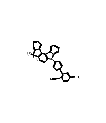 Cc1ccc(C#N)c(-c2ccc(-n3c4ccccc4c4c5c(ccc43)C(C)(C)c3ccccc3-5)cc2)c1